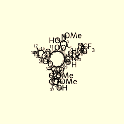 CO/N=C1\C[C@@H](C)O[C@@H](O[C@@H]2[C@@H](C)[C@H](O[C@H]3CC(C)N(C)C[C@H](C)O3)[C@@H](C)C(=O)O[C@H](C(C)CO[C@@H]3O[C@H](C)[C@@H](O)[C@@H](OC)[C@H]3OC)[C@H](C)[C@@H](OC(=O)CC(C)C)[C@@H](C)C(=O)[C@@](C)(OC(=O)NC(C)(C)CNS(=O)(=O)C(F)(F)F)C[C@@H]2C)[C@@H]1O